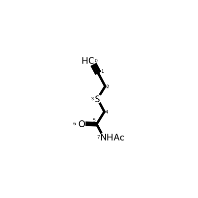 C#CCSCC(=O)NC(C)=O